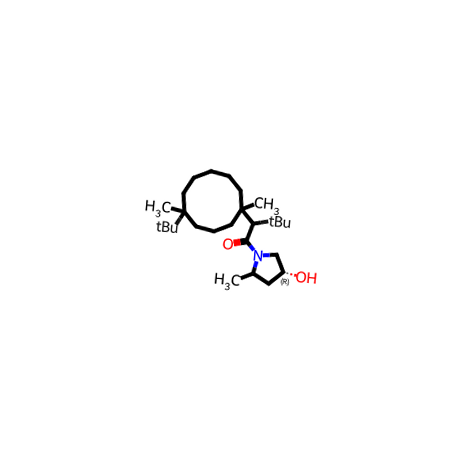 CC1C[C@@H](O)CN1C(=O)C(C(C)(C)C)C1(C)CCCCCC(C)(C(C)(C)C)CCC1